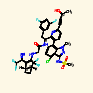 C[C@H](O)C#Cc1ccc(-c2ccc(Cl)c3c(NS(C)(=O)=O)nn(C)c23)c([C@H](Cc2cc(F)cc(F)c2)NC(=O)CNC2=C(C(=N)C(F)F)[C@H]3CC[C@H]3C2(F)F)n1